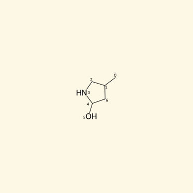 CC1CNC(O)C1